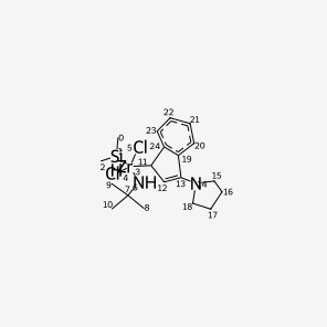 C[SiH](C)[Zr]([Cl])([Cl])([NH]C(C)(C)C)[CH]1C=C(N2CCCC2)c2ccccc21